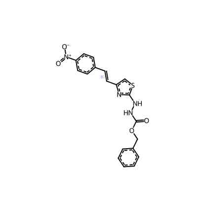 O=C(NNc1nc(/C=C/c2ccc([N+](=O)[O-])cc2)cs1)OCc1ccccc1